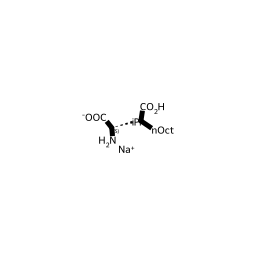 CC(C)[C@H](N)C(=O)[O-].CCCCCCCCCC(=O)O.[Na+]